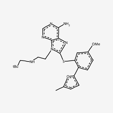 COc1ccc(-c2ccc(C)o2)c(Sc2nc3c(N)ncnc3n2CCNCC(C)(C)C)c1